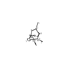 CC1C[C@@H](C)[C@]2(C)O[C@@H]2C1